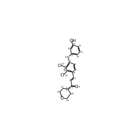 O=C(/C=C/c1ccc(Sc2cccc(O)c2)c(Cl)c1Cl)N1CCOCC1